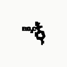 CCOC(=O)C(C)(Br)c1ccc(F)cn1